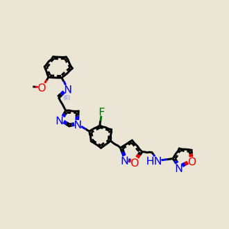 COc1ccccc1/N=C/c1cn(-c2ccc(-c3cc(CNc4ccon4)on3)cc2F)cn1